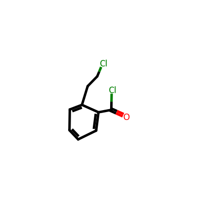 O=C(Cl)c1ccccc1CCCl